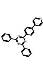 c1ccc(-c2nc(-c3ccccc3)nc(-c3ccc(-c4ccncc4)cc3)n2)cc1